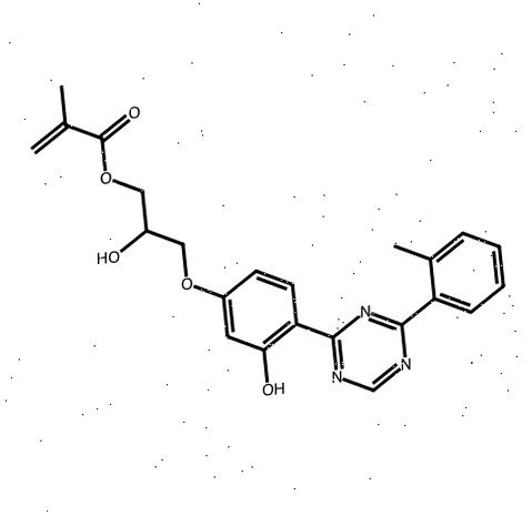 C=C(C)C(=O)OCC(O)COc1ccc(-c2ncnc(-c3ccccc3C)n2)c(O)c1